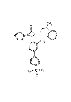 Cc1cc(-c2ccc(P(C)(C)=O)cc2)ccc1C1C(CCC(C)c2ccccc2)C(=O)N1c1ccccc1